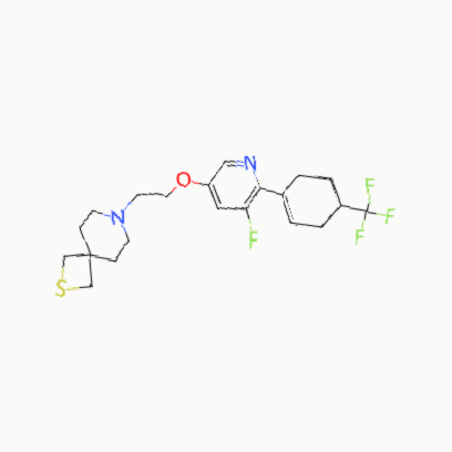 Fc1cc(OCCN2CCC3(CC2)CSC3)cnc1C1=CCC(C(F)(F)F)CC1